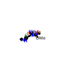 C=CC(=O)N1C[C@@H](n2nc(C#Cc3cc4ncn(C5CCC5)c4cc3Cl)c(C(N)=O)c2NC)C[C@@H]1COC